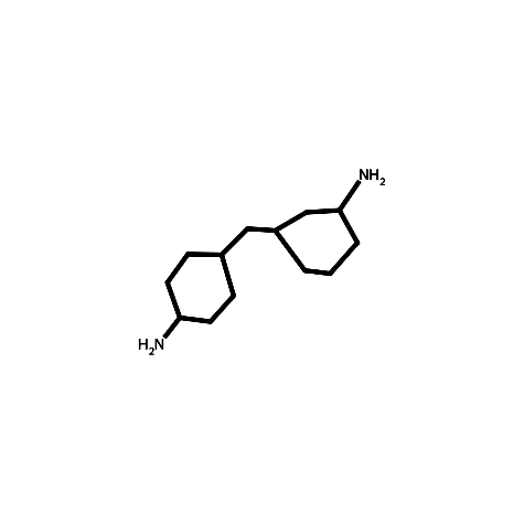 NC1CCC(CC2CCCC(N)C2)CC1